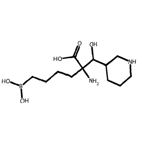 NC(CCCCB(O)O)(C(=O)O)C(O)C1CCCNC1